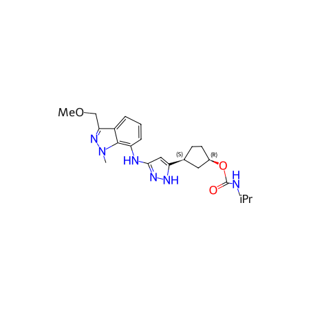 COCc1nn(C)c2c(Nc3cc([C@H]4CC[C@@H](OC(=O)NC(C)C)C4)[nH]n3)cccc12